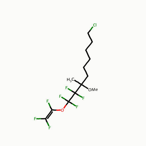 COC(C)(CCCCCCCl)C(F)(F)C(F)(F)OC(F)=C(F)F